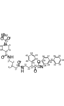 CC(CCNC(=O)C1CCN(C(=O)OC(C)(C)C)CC1)CC(=O)NCCC(C(=O)c1nc2cc(-c3ccccc3)ccc2o1)c1ccccc1